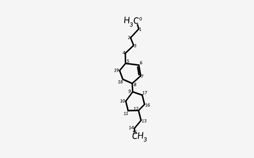 CCCCCC1C=CC(C2CCC(CCC)CC2)CC1